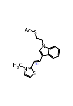 CC(=O)SCCn1cc(/C=C/c2scc[n+]2C)c2ccccc21